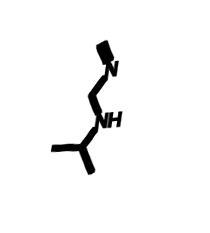 C=NCNC(C)C